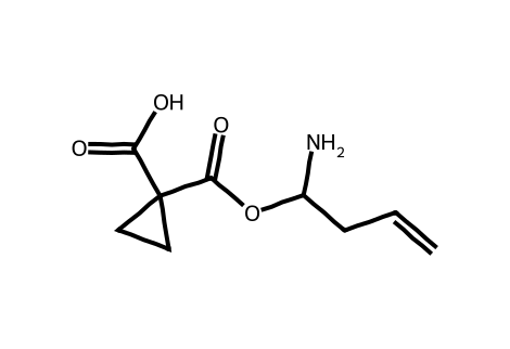 C=CCC(N)OC(=O)C1(C(=O)O)CC1